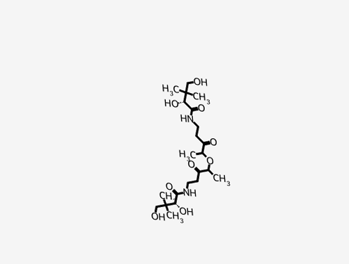 CC(OC(C)C(=O)CCNC(=O)[C@H](O)C(C)(C)CO)C(=O)CCNC(=O)[C@H](O)C(C)(C)CO